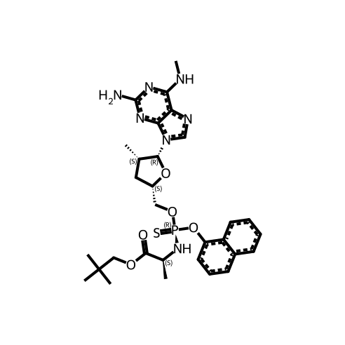 CNc1nc(N)nc2c1ncn2[C@@H]1O[C@H](CO[P@](=S)(N[C@@H](C)C(=O)OCC(C)(C)C)Oc2cccc3ccccc23)C[C@@H]1C